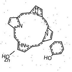 C1=Cc2cc3ccc(cc4nc(cc5ccc(cc1n2)[nH]5)C=C4)[nH]3.CO.Oc1ccccc1.[Zn]